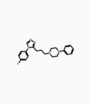 Fc1ccc(-n2cnnc2CCCN2CCN(c3ccccc3)CC2)cc1